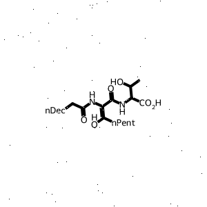 CCCCCCCCCCCC(=O)NC(C(=O)NC(C(=O)O)C(C)O)=C(O)CCCCC